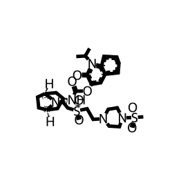 CC(C)n1c(=O)c(OC(=O)N[C@@H]2C[C@H]3CC[C@@H](C2)N3CCS(=O)(=O)CCN2CCN(S(C)(=O)=O)CC2)cc2ccccc21